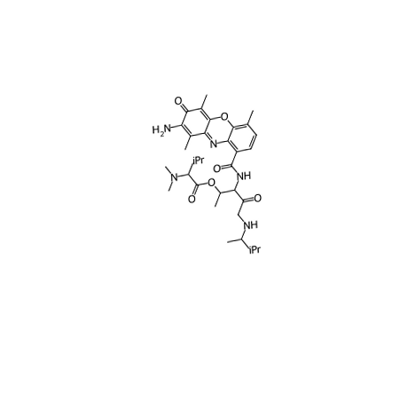 Cc1c2nc3c(C(=O)NC(C(=O)CNC(C)C(C)C)C(C)OC(=O)C(C(C)C)N(C)C)ccc(C)c3oc-2c(C)c(=O)c1N